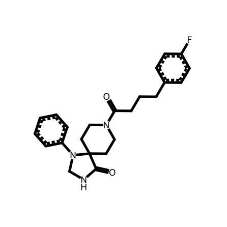 O=C(CCCc1ccc(F)cc1)N1CCC2(CC1)C(=O)NCN2c1ccccc1